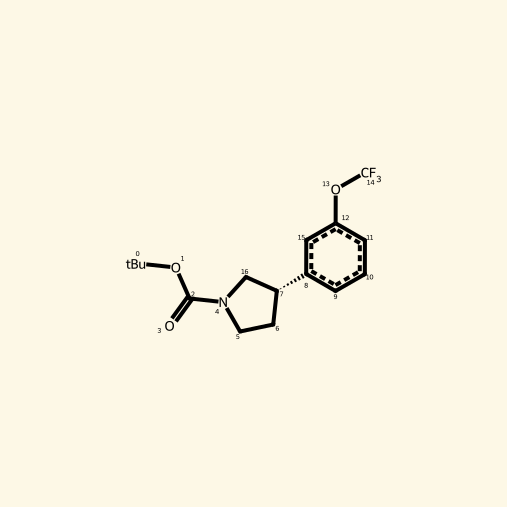 CC(C)(C)OC(=O)N1CC[C@@H](c2cccc(OC(F)(F)F)c2)C1